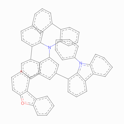 c1ccc(-c2ccccc2N(c2cc(-c3cccc4oc5ccccc5c34)cc(-c3cccc4c5ccccc5n(-c5ccccc5)c34)c2)c2ccccc2-c2ccccc2)cc1